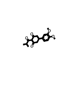 COc1ccc(C2CC(=O)C(C(=O)C(C)C)C(=O)C2)cc1OC